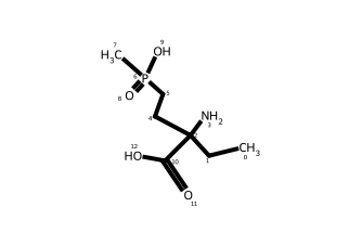 CCC(N)(CCP(C)(=O)O)C(=O)O